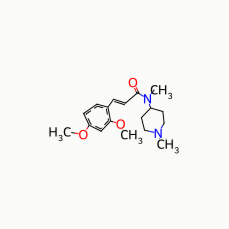 COc1ccc(/C=C/C(=O)N(C)C2CCN(C)CC2)c(OC)c1